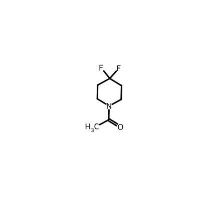 CC(=O)N1CCC(F)(F)CC1